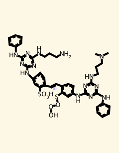 CN(C)CCCNc1nc(Nc2ccccc2)nc(Nc2ccc(/C=C/c3ccc(Nc4nc(NCCCN)nc(Nc5ccccc5)n4)cc3S(=O)(=O)O)c(SOOO)c2)n1